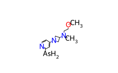 COCCN(C)C1CN(c2ccnc([AsH2])c2)C1